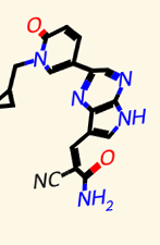 N#CC(=Cc1c[nH]c2ncc(-c3ccc(=O)n(CC4CC4)c3)nc12)C(N)=O